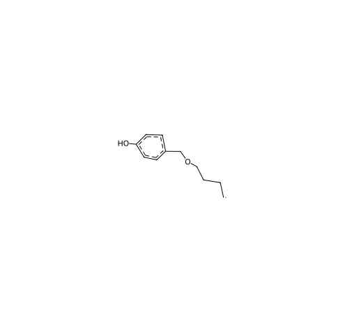 [CH2]CCCOCc1ccc(O)cc1